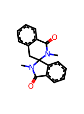 CN1C(=O)c2ccccc2CC12c1ccccc1C(=O)N2C